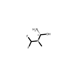 CN(C(F)F)[C@H](N)O